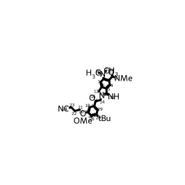 CNC(=O)c1cc2c(cc1N(C)C)CN(CC(=O)c1cc(OCCCC#N)c(OC)c(C(C)(C)C)c1)C2=N